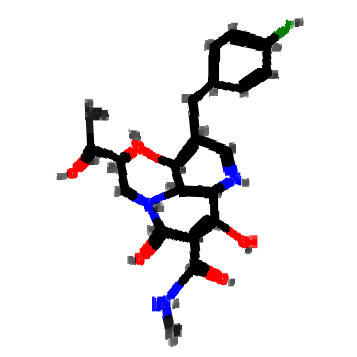 CCNC(=O)c1c(O)c2ncc(Cc3ccc(F)cc3)c3c2n(c1=O)C[C@@H](C(=O)NC)O3